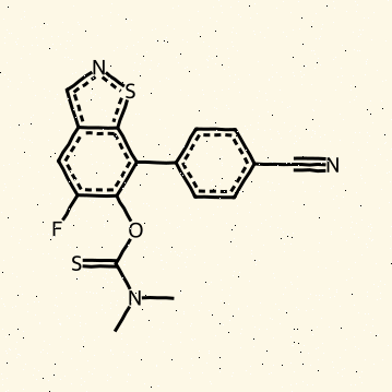 CN(C)C(=S)Oc1c(F)cc2cnsc2c1-c1ccc(C#N)cc1